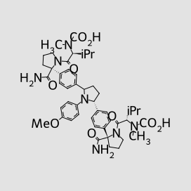 COc1ccc(N2C(c3ccc([C@]4(C(N)=O)CCCN4C(=O)[C@H](C(C)C)N(C)C(=O)O)cc3)CC[C@@H]2c2ccc([C@]3(C(N)=O)CCCN3C(=O)[C@H](C(C)C)N(C)C(=O)O)cc2)cc1